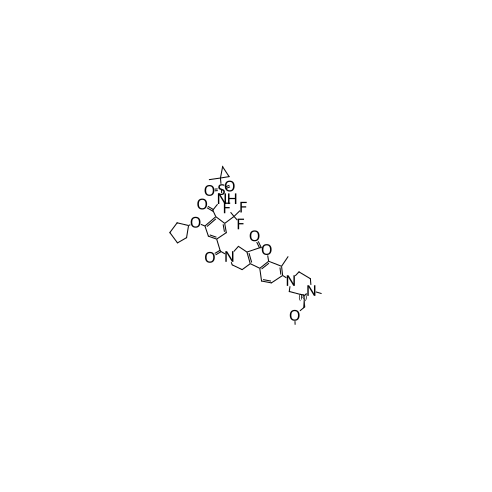 COC[C@H]1CN(c2ccc3c4c(c(=O)oc3c2C)CN(C(=O)c2cc(OC3CCCC3)c(C(=O)NS(=O)(=O)C3(C)CC3)c(C(F)(F)F)c2)CC4)CCN1C